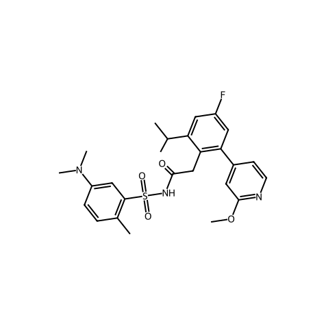 COc1cc(-c2cc(F)cc(C(C)C)c2CC(=O)NS(=O)(=O)c2cc(N(C)C)ccc2C)ccn1